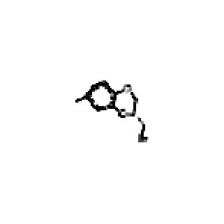 Cc1ccc2c(c1)O[C@@H](CBr)CO2